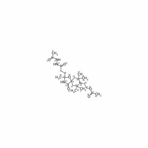 CC(=O)NNC(=O)CCC1(C)NC(=O)C2(CC(C)(C)N(CCOC(C)=O)C(C)(C)C2)O1